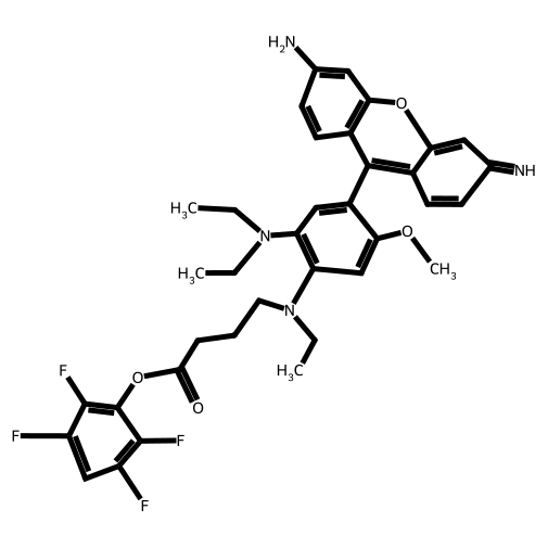 CCN(CC)c1cc(-c2c3ccc(=N)cc-3oc3cc(N)ccc23)c(OC)cc1N(CC)CCCC(=O)Oc1c(F)c(F)cc(F)c1F